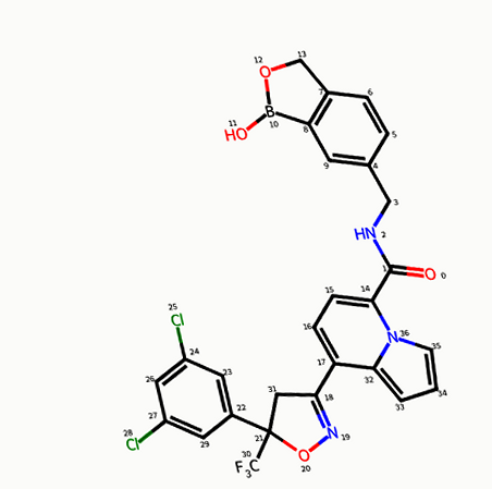 O=C(NCc1ccc2c(c1)B(O)OC2)c1ccc(C2=NOC(c3cc(Cl)cc(Cl)c3)(C(F)(F)F)C2)c2cccn12